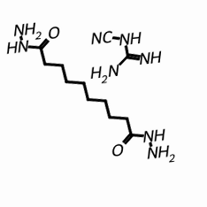 N#CNC(=N)N.NNC(=O)CCCCCCCCC(=O)NN